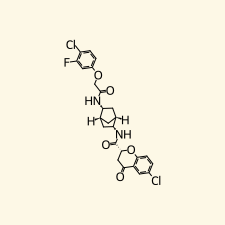 O=C(COc1ccc(Cl)c(F)c1)N[C@H]1C[C@H]2C[C@@H]1C[C@@H]2NC(=O)[C@H]1CC(=O)c2cc(Cl)ccc2O1